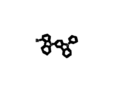 Brc1cccc2c1c1ccccc1n2-c1ccc2c(c1)c1ccccc1n2-c1ccccc1